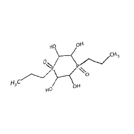 CCCP1(=O)C(O)C(O)P(=O)(CCC)C(O)C1O